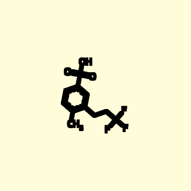 Cc1ccc(S(=O)(=O)O)cc1CCC(F)(F)F